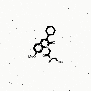 CCN(CC(C)(C)C)C(=O)Cn1c(=O)c(C2CCCCC2)cc2ccc(OC)cc21